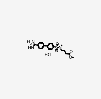 COC(=O)CCCN(C)S(=O)(=O)c1ccc(-c2ccc(C(=N)N)cc2)cc1.Cl